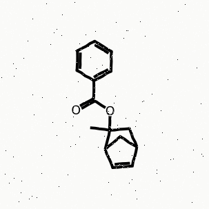 CC1(OC(=O)c2ccccc2)CC2C=CC1C2